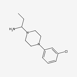 CCC(N)N1CCN(c2cccc(Cl)c2)CC1